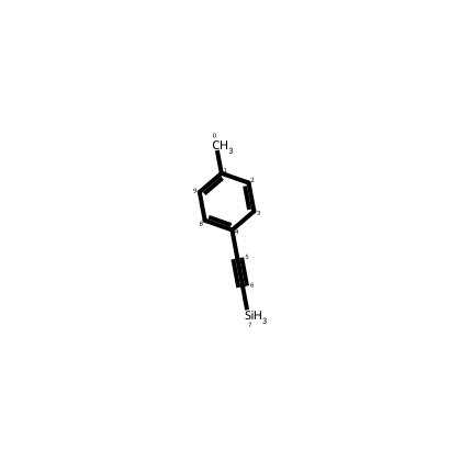 Cc1ccc(C#C[SiH3])cc1